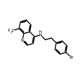 FC(F)(F)c1cccc2c(NCCc3ccc(Br)cc3)ccnc12